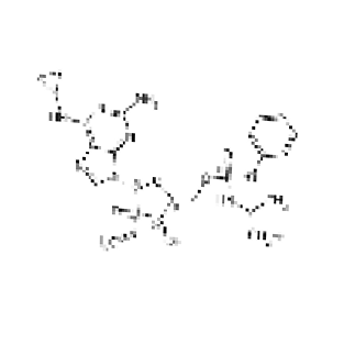 C=C[C@@]1(F)[C@H](O)[C@@H](CO[P@](=O)(NC(C)C(=O)OCC)Oc2ccccc2)O[C@H]1n1cnc2c(NC3CC3)nc(N)nc21